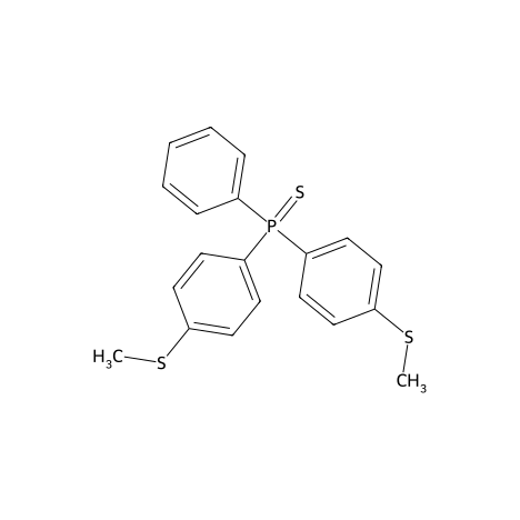 CSc1ccc(P(=S)(c2ccccc2)c2ccc(SC)cc2)cc1